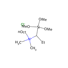 CCCCCCCC[N+](C)(C)C(CC)[Si](OC)(OC)OC.[Cl-]